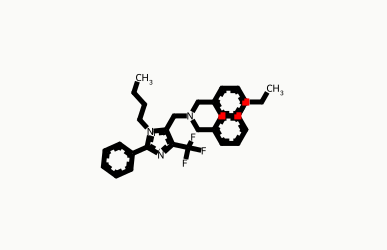 CCCCn1c(-c2ccccc2)nc(C(F)(F)F)c1CN(Cc1ccccc1)Cc1cccc(OCC)c1